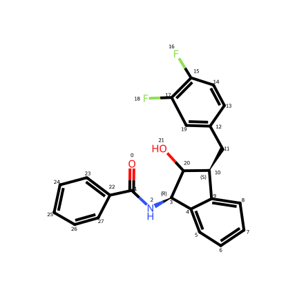 O=C(N[C@@H]1c2ccccc2[C@H](Cc2ccc(F)c(F)c2)C1O)c1ccccc1